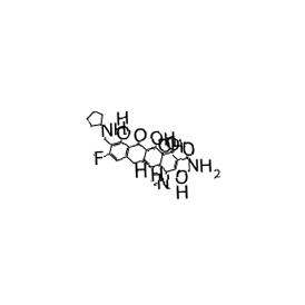 CN(C)[C@@H]1C(O)=C(C(N)=O)C(=O)[C@@]2(O)C(O)=C3C(=O)c4c(cc(F)c(CNC5CCCC5)c4O)C[C@H]3C[C@@H]12